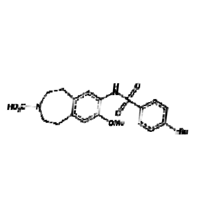 CCCCc1ccc(S(=O)(=O)Nc2cc3c(cc2OC)CCN(C(=O)O)CC3)cc1